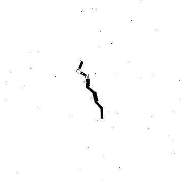 [CH2]C/C=C/C=N/OC